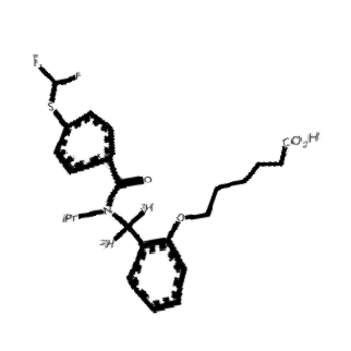 [2H]C([2H])(c1ccccc1OCCCCCC(=O)O)N(C(=O)c1ccc(SC(F)F)cc1)C(C)C